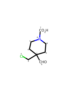 O=CC1(CCl)CCN(C(=O)O)CC1